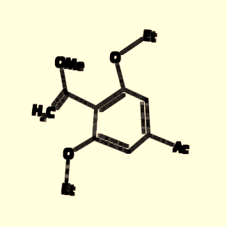 C=C(OC)c1c(OCC)cc(C(C)=O)cc1OCC